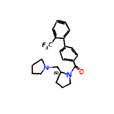 O=C(c1ccc(-c2ccccc2C(F)(F)F)cc1)N1CCC[C@H]1CN1CCCC1